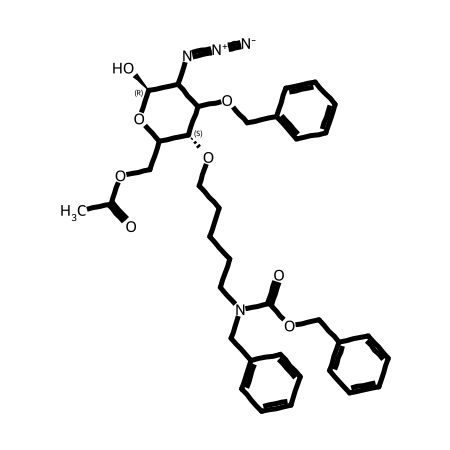 CC(=O)OCC1O[C@@H](O)C(N=[N+]=[N-])C(OCc2ccccc2)[C@@H]1OCCCCCN(Cc1ccccc1)C(=O)OCc1ccccc1